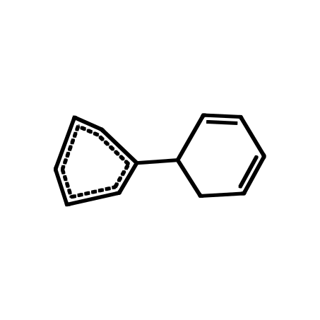 C1=CCC(c2ccccc2)C=C1